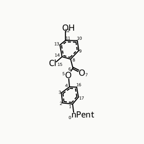 CCCCCc1ccc(OC(=O)c2ccc(O)cc2Cl)cc1